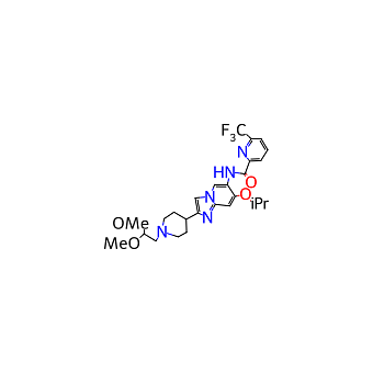 COC(CN1CCC(c2cn3cc(NC(=O)c4cccc(C(F)(F)F)n4)c(OC(C)C)cc3n2)CC1)OC